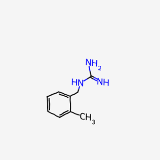 Cc1ccccc1CNC(=N)N